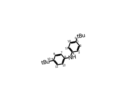 CC(C)(C)c1c[c]c(Nc2ccc(C(C)(C)C)cc2)cc1